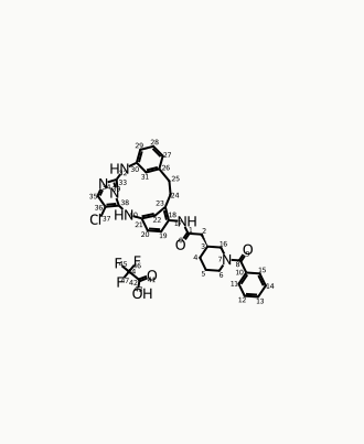 O=C(C[C@@H]1CCCN(C(=O)c2ccccc2)C1)Nc1ccc2cc1CCc1cccc(c1)Nc1ncc(Cl)c(n1)N2.O=C(O)C(F)(F)F